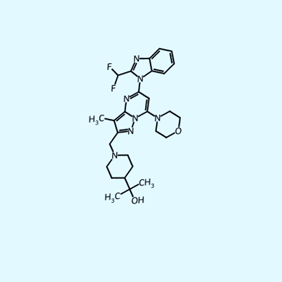 Cc1c(CN2CCC(C(C)(C)O)CC2)nn2c(N3CCOCC3)cc(-n3c(C(F)F)nc4ccccc43)nc12